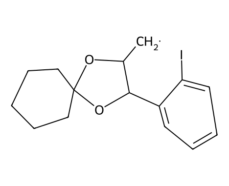 [CH2]C1OC2(CCCCC2)OC1c1ccccc1I